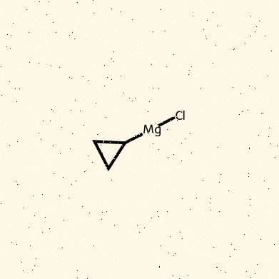 [Cl][Mg][CH]1CC1